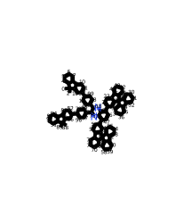 CC1(C)c2ccccc2-c2ccc(-c3ccc(-c4nc5c(-c6ccc7c(c6)C6(c8ccccc8-c8ccccc86)c6ccccc6-7)ccc(-c6ccc7c(c6)C6(c8ccccc8-c8ccccc86)C6C=CC=CC76)c5nc4-c4ccc(-c5ccc6c(c5)C(C)(C)c5ccccc5-6)cc4)cc3)cc21